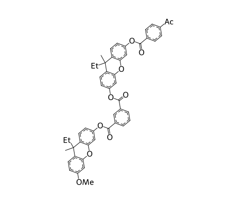 CCC1(C)c2ccc(OC)cc2Oc2cc(OC(=O)c3cccc(C(=O)Oc4ccc5c(c4)Oc4cc(OC(=O)c6ccc(C(C)=O)cc6)ccc4C5(C)CC)c3)ccc21